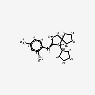 CCc1cc(C(C)=O)ccc1N=C1SCC2(CCCC2)N1C1CCCC1